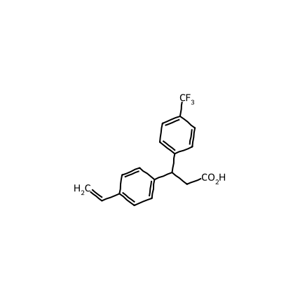 C=Cc1ccc(C(CC(=O)O)c2ccc(C(F)(F)F)cc2)cc1